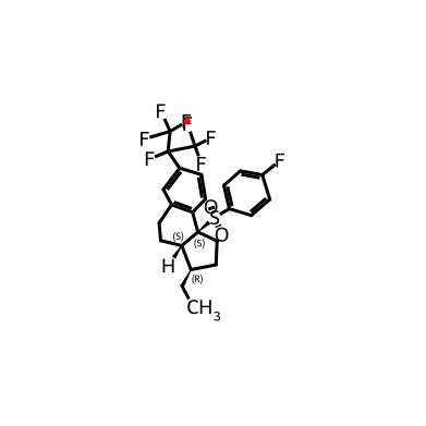 CC[C@@H]1CC[C@@]2(S(=O)(=O)c3ccc(F)cc3)c3ccc(C(F)(C(F)(F)F)C(F)(F)F)cc3CC[C@@H]12